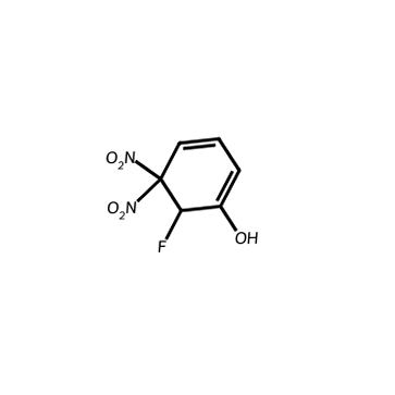 O=[N+]([O-])C1([N+](=O)[O-])C=CC=C(O)C1F